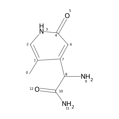 Cc1c[nH]c(=O)cc1C(N)C(N)=O